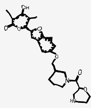 Cc1c(-c2cc3cc(OCC4CCCN(C(=O)C5CNCCO5)C4)ccc3o2)oc(=O)c(C)c1O